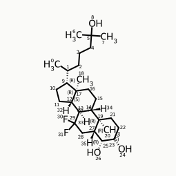 CC(CCCC(C)(C)O)[C@H]1CC[C@H]2[C@H]3[C@H](CC[C@]12C)[C@@]1(C)CC[C@H](O)[C@H](O)[C@@H]1CC3(F)F